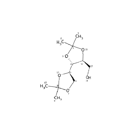 CC1(C)O[C@@H]([C@H]2COC(C)(C)O2)[C@H](CO)O1